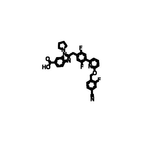 N#Cc1ccc(COc2cccc(-c3cc(F)c(Cc4nc5ccc(C(=O)O)cc5n4N4CCCC4)cc3F)n2)c(F)c1